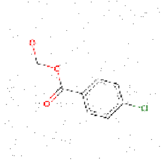 [O]COC(=O)c1ccc(Cl)cc1